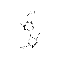 COc1cc(-c2cnc(CO)c(C)n2)c(Cl)cn1